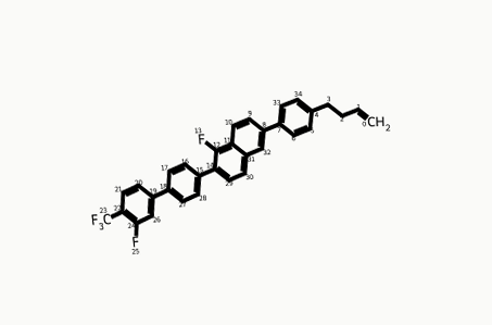 C=CCCc1ccc(-c2ccc3c(F)c(-c4ccc(-c5ccc(C(F)(F)F)c(F)c5)cc4)ccc3c2)cc1